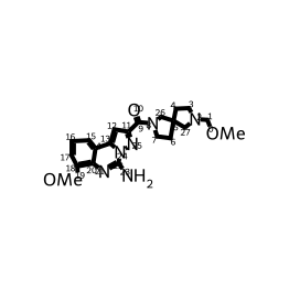 COCN1CCC2(CCN(C(=O)c3cc4c5cccc(OC)c5nc(N)n4n3)C2)C1